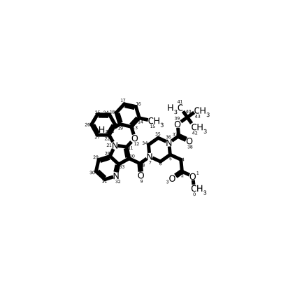 COC(=O)CC1CN(C(=O)c2c(Oc3c(C)cccc3C)n(-c3ccccc3)c3cccnc23)CCN1C(=O)OC(C)(C)C